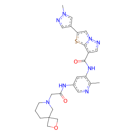 Cc1ncc(NC(=O)CN2CCCC3(COC3)C2)cc1NC(=O)c1cnn2cc(-c3cnn(C)c3)sc12